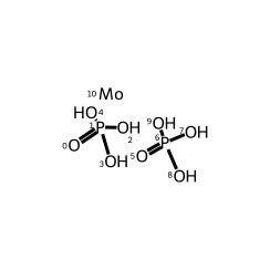 O=P(O)(O)O.O=P(O)(O)O.[Mo]